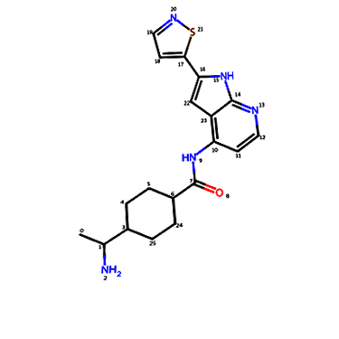 CC(N)C1CCC(C(=O)Nc2ccnc3[nH]c(-c4ccns4)cc23)CC1